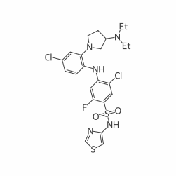 CCN(CC)C1CCN(c2cc(Cl)ccc2Nc2cc(F)c(S(=O)(=O)Nc3cscn3)cc2Cl)C1